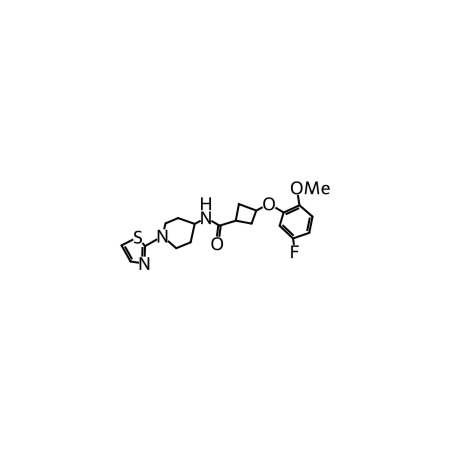 COc1ccc(F)cc1OC1CC(C(=O)NC2CCN(c3nccs3)CC2)C1